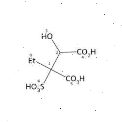 CCC([C](O)C(=O)O)(C(=O)O)S(=O)(=O)O